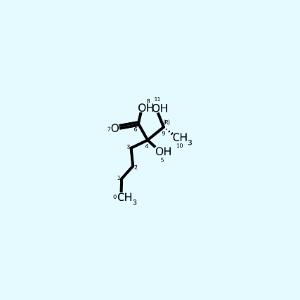 CCCCC(O)(C(=O)O)[C@@H](C)O